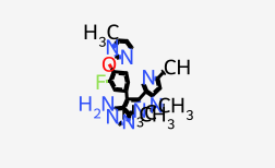 C#Cc1cc(N(C)C)c(-c2c(-c3ccc(Oc4nccc(C)n4)c(F)c3)c3c(N)ncnc3n2C)cn1